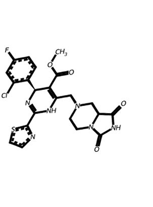 COC(=O)C1=C(CN2CCN3C(=O)NC(=O)C3C2)NC(c2nccs2)=N[C@H]1c1ccc(F)cc1Cl